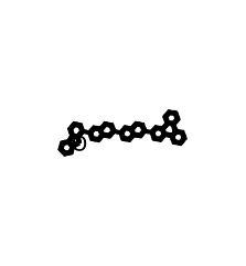 c1ccc2c(c1)oc1c(-c3ccc4cc(-c5ccc6cc(-c7ccc8c9ccccc9c9ccccc9c8c7)ccc6c5)ccc4c3)cccc12